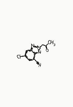 CC(=O)Cn1nc2cc(Cl)cc(C#N)c2n1